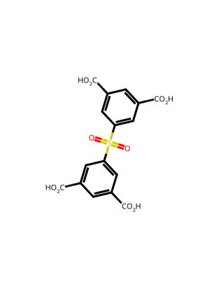 O=C(O)c1cc(C(=O)O)cc(S(=O)(=O)c2cc(C(=O)O)cc(C(=O)O)c2)c1